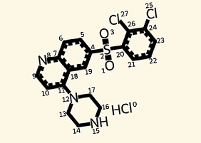 Cl.O=S(=O)(c1ccc2nccc(N3CCNCC3)c2c1)c1cccc(Cl)c1Cl